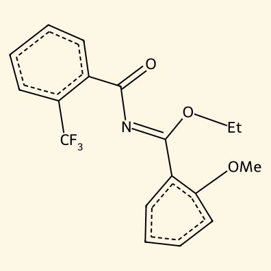 CCOC(=NC(=O)c1ccccc1C(F)(F)F)c1ccccc1OC